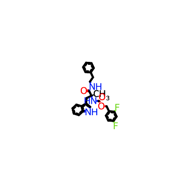 C[C@](Cc1c[nH]c2ccccc12)(NC(=O)OCc1ccc(F)cc1F)C(=O)NCCc1ccccc1